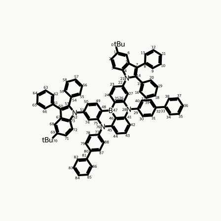 CC(C)(C)c1ccc2c(c1)c(-c1ccccc1)c(-c1ccccc1)n2-c1ccc2c(c1)N(c1ccc(-c3ccccc3)cc1)c1cccc3c1B2c1ccc(-n2c(-c4ccccc4)c(-c4ccccc4)c4cc(C(C)(C)C)ccc42)cc1N3c1ccc(-c2ccccc2)cc1